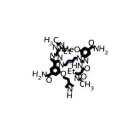 CCc1nc(C)oc1C(=O)Nc1nc2cc(C(N)=O)cc(OC)c2n1C/C=C/Cn1c2nc(-c3nc(C)nn3CC)ncc2c2cc(C(N)=O)cc(OCCC3CNC3)c21